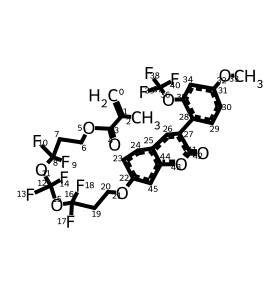 C=C(C)C(=O)OCCC(F)(F)OC(F)(F)OC(F)(F)CCOc1ccc2cc(-c3ccc(OC)cc3OC(F)(F)F)c(=O)oc2c1